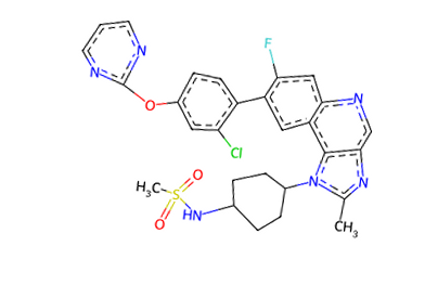 Cc1nc2cnc3cc(F)c(-c4ccc(Oc5ncccn5)cc4Cl)cc3c2n1C1CCC(NS(C)(=O)=O)CC1